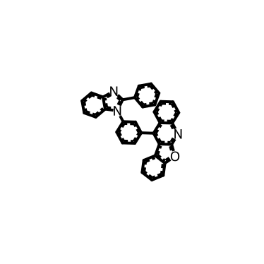 c1ccc(-c2nc3ccccc3n2-c2cccc(-c3c4ccccc4nc4oc5ccccc5c34)c2)cc1